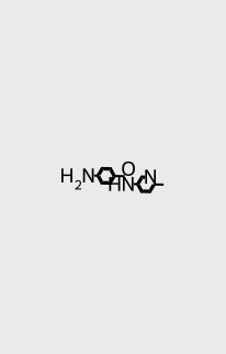 Cc1ccc(NC(=O)c2ccc(N)cc2)cn1